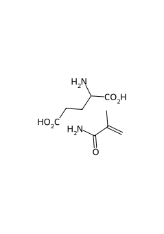 C=C(C)C(N)=O.NC(CCC(=O)O)C(=O)O